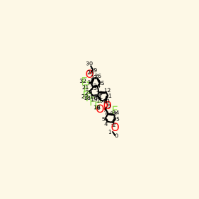 CCOc1ccc(C(=O)Oc2ccc3c(c2F)C(F)(F)C(F)(F)c2c-3ccc(OCC)c2F)c(F)c1